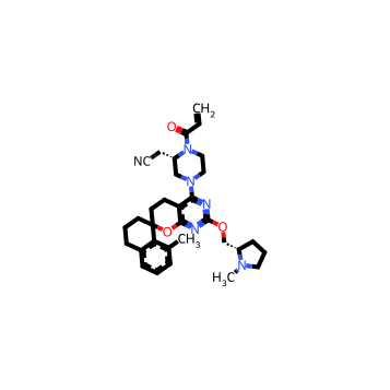 C=CC(=O)N1CCN(c2nc(OC[C@@H]3CCCN3C)nc3c2CCC2(CCCc4cccc(C)c42)O3)C[C@@H]1CC#N